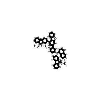 CC1(C)c2ccccc2-c2ccc(-c3c4oc5ccc(N(c6ccc7c(c6)C(C)(C)c6ccccc6-7)c6cccc7ccccc67)cc5c4cc4oc5ccccc5c34)cc21